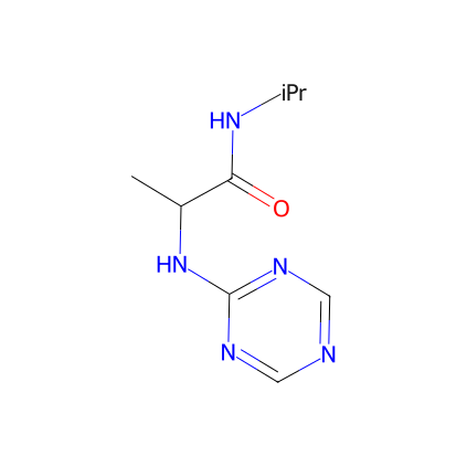 CC(C)NC(=O)C(C)Nc1ncncn1